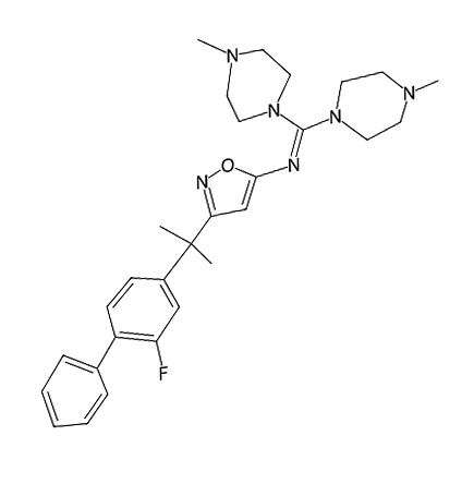 CN1CCN(C(=Nc2cc(C(C)(C)c3ccc(-c4ccccc4)c(F)c3)no2)N2CCN(C)CC2)CC1